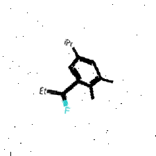 CCC(F)c1cc(C(C)C)cc(C)c1C